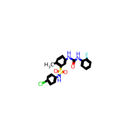 Cc1ccc(NC(=O)Nc2ccccc2F)cc1S(=O)(=O)Nc1ccc(Cl)cc1